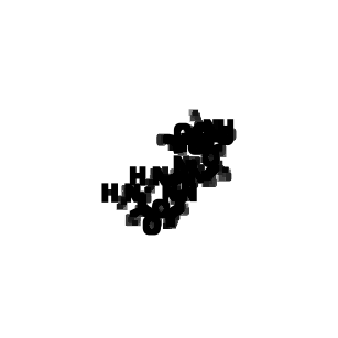 CC(C)OC(=O)[C@H](C)NP(=O)(O)CO[C@H](C)Cn1cnc2c(N)nc(CC(C)OC(=O)[C@@H](C)CN)nc21